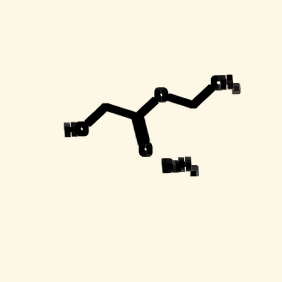 CCOC(=O)CO.[BaH2]